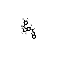 Cc1cc2c(cc1C(=O)N1Cc3ccccc3C1)[nH]c(=O)c1nnc(-c3ccc(O)c(Cl)c3)n12